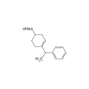 CCCCCCC1CC=C(C(C)c2ccccc2)CC1